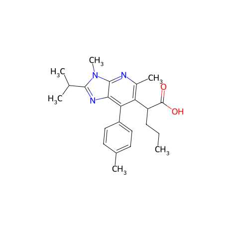 CCCC(C(=O)O)c1c(C)nc2c(nc(C(C)C)n2C)c1-c1ccc(C)cc1